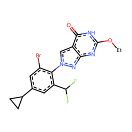 CCOc1nc2nn(-c3c(Br)cc(C4CC4)cc3C(F)F)cc2c(=O)[nH]1